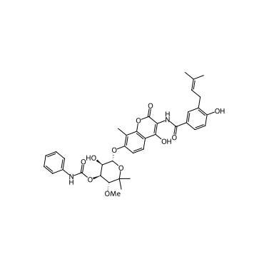 CO[C@@H]1[C@@H](OC(=O)Nc2ccccc2)[C@@H](O)[C@H](Oc2ccc3c(O)c(NC(=O)c4ccc(O)c(CC=C(C)C)c4)c(=O)oc3c2C)OC1(C)C